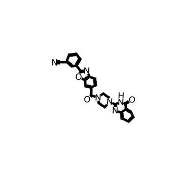 N#Cc1cccc(-c2nc3ccc(C(=O)N4CCN(c5nc6ccccc6c(=O)[nH]5)CC4)cc3o2)c1